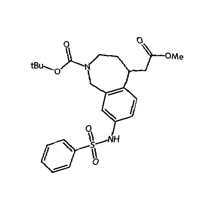 COC(=O)CC1CCN(C(=O)OC(C)(C)C)Cc2cc(NS(=O)(=O)c3ccccc3)ccc21